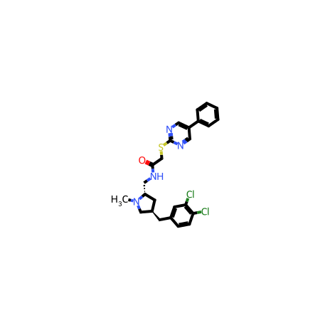 CN1C[C@H](Cc2ccc(Cl)c(Cl)c2)C[C@H]1CNC(=O)CSc1ncc(-c2ccccc2)cn1